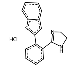 Cl.c1ccc(-c2cc3ccccc3s2)c(C2=NCCN2)c1